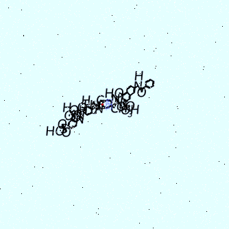 C=C(/C=C(C)\C(=C/CC)N=Nc1c(S(=O)(=O)O)cc2cc(NC(=O)c3ccccc3)ccc2c1O)N=Nc1ccc(N=Nc2ccc(S(=O)(=O)O)cc2S(=O)(=O)O)c(C)c1